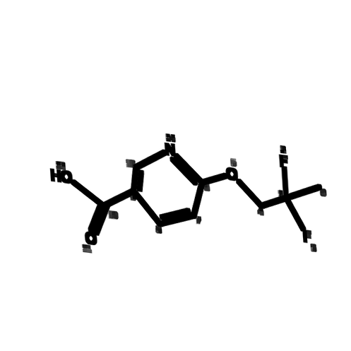 CC(F)(F)COc1ccc(C(=O)O)cn1